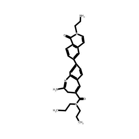 CCCN(CCC)C(=O)C1=Cc2ccc(-c3ccc4c(=O)n(CCN)ccc4c3)cc2N=C(N)C1